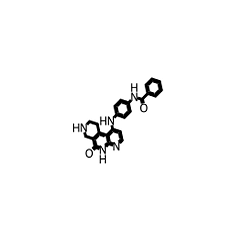 O=C(Nc1ccc(Nc2ccnc3[nH]c(=O)c4c(c23)CCNC4)cc1)c1ccccc1